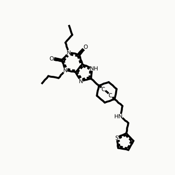 CCCn1c(=O)c2[nH]c(C34CCC(CNCc5cccs5)(CC3)CC4)nc2n(CCC)c1=O